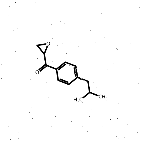 CC(C)Cc1ccc(C(=O)C2CO2)cc1